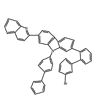 Brc1cccc(-c2ccccc2-c2ccc3c4ccc(-c5ccc6ccccc6n5)cc4n(-c4ccc(-c5ccccc5)cc4)c3c2)c1